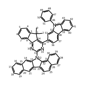 CC1(C)c2ccccc2-c2nc(-n3c4cc5ccccc5cc4c4ccc5ccccc5c43)nc(-c3ccc4c5ccccc5n(-c5ccccc5)c4c3)c21